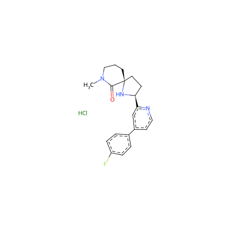 CN1CCC[C@]2(CC[C@@H](c3cc(-c4ccc(F)cc4)ccn3)N2)C1=O.Cl